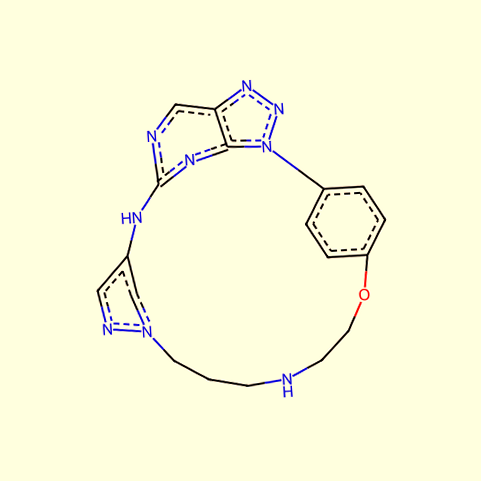 c1nn2cc1Nc1ncc3nnn(c3n1)-c1ccc(cc1)OCCNCCC2